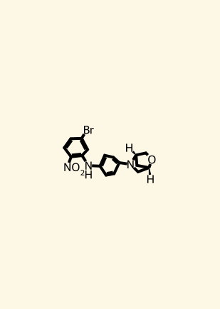 O=[N+]([O-])c1ccc(Br)cc1Nc1ccc(N2C[C@@H]3C[C@H]2CO3)cc1